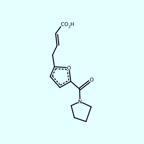 O=C(O)/C=C/Cc1ccc(C(=O)N2CCCC2)o1